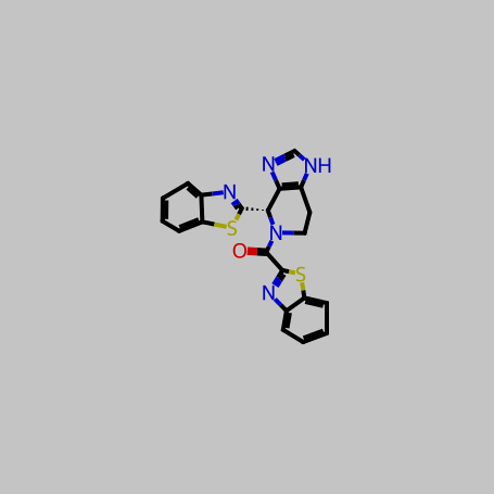 O=C(c1nc2ccccc2s1)N1CCc2[nH]cnc2[C@H]1c1nc2ccccc2s1